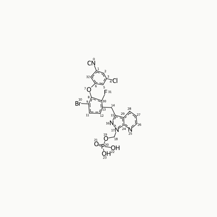 [C-]#[N+]c1cc(Cl)cc(Oc2c(Br)ccc(Cc3nn(COP(=O)(O)O)c4ncccc34)c2F)c1